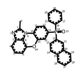 Cc1nc2cccc3c2n1-c1ccc(P(=O)(c2ccccc2)c2ccc4ccccc4c2)cc1O3